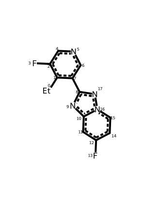 CCc1c(F)cncc1-c1nc2cc(F)ccn2n1